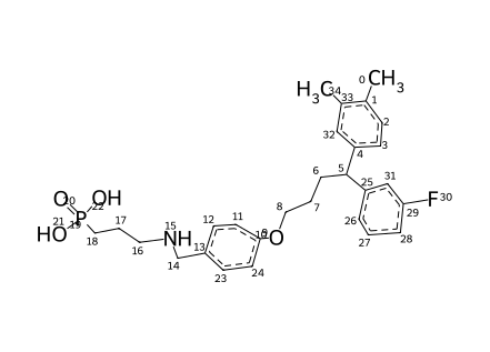 Cc1ccc(C(CCCOc2ccc(CNCCCP(=O)(O)O)cc2)c2cccc(F)c2)cc1C